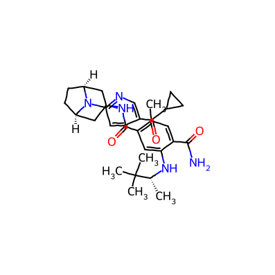 Cc1cc(C(N)=O)c(N[C@H](C)C(C)(C)C)cc1C(=O)N[C@H]1C[C@H]2CC[C@@H](C1)N2c1ccc(C(=O)C2CC2)cn1